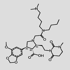 CCCCN(CCCCN(C)C)C(=O)CN1C[C@H](c2cc(OC)c3c(c2)OCO3)[C@@H](C(=O)O)[C@@H]1CCN1C(=O)CCN(C)C1=O